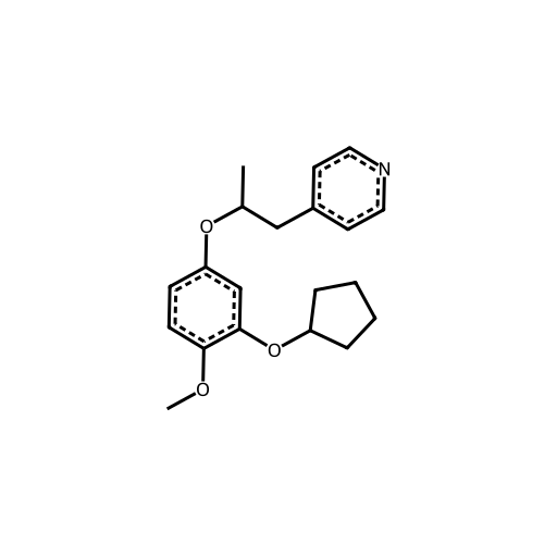 COc1ccc(OC(C)Cc2ccncc2)cc1OC1CCCC1